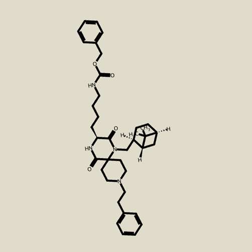 CC1(C)[C@H]2CC[C@H](CN3C(=O)[C@H](CCCCNC(=O)OCc4ccccc4)NC(=O)C34CCN(CCc3ccccc3)CC4)[C@H]1C2